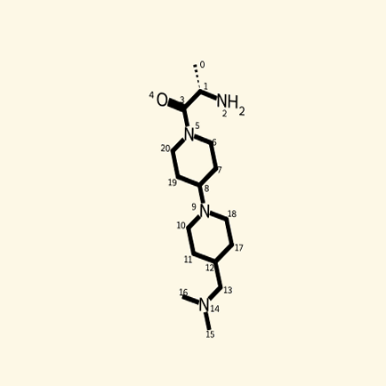 C[C@H](N)C(=O)N1CCC(N2CCC(CN(C)C)CC2)CC1